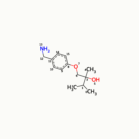 CC(C)C(C)(O)COc1ccc(CN)cc1